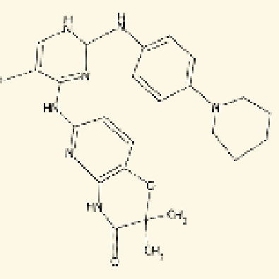 CC1(C)Oc2ccc(NC3=NC(Nc4ccc(N5CCCCC5)cc4)NC=C3F)nc2NC1=O